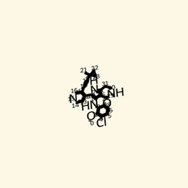 COc1c(Cl)cccc1Nc1c(-c2ccncc2C#CC2(C)CC2)[nH]c2c1C(=O)NCC2